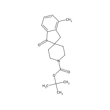 Cc1cccc2c1CC1(CCN(C(=O)OC(C)(C)C)CC1)C2=O